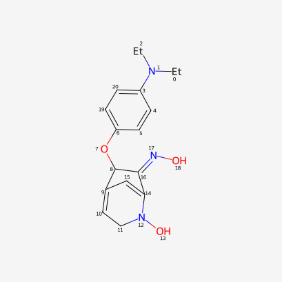 CCN(CC)c1ccc(OC2C3=CCN(O)C(=C3)C2=NO)cc1